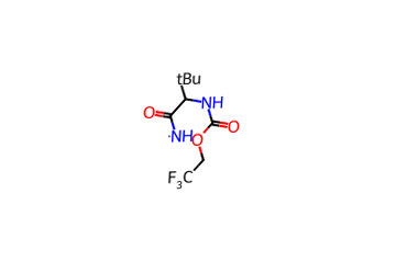 CC(C)(C)C(NC(=O)OCC(F)(F)F)C([NH])=O